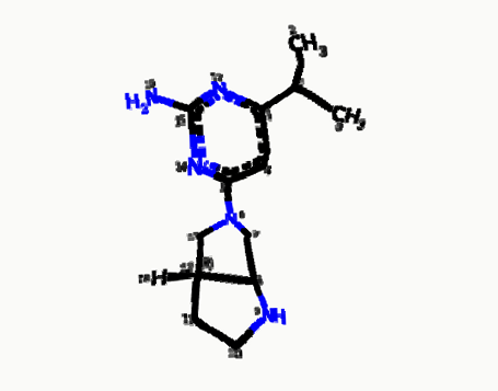 CC(C)c1cc(N2CC3NCC[C@@H]3C2)nc(N)n1